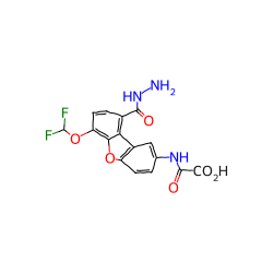 NNC(=O)c1ccc(OC(F)F)c2oc3ccc(NC(=O)C(=O)O)cc3c12